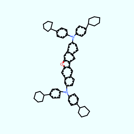 c1cc(N(c2ccc(C3CCCCC3)cc2)c2ccc3cc4c(cc3c2)oc2cc3cc(N(c5ccc(C6CCCCC6)cc5)c5ccc(C6CCCCC6)cc5)ccc3cc24)ccc1C1CCCCC1